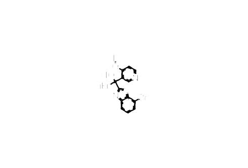 CCOc1ccncc1C(O)(c1nc2cccc(Br)c2s1)C(C)C